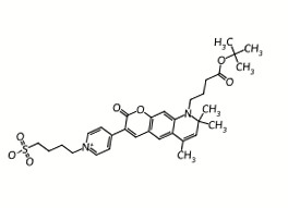 CC1=CC(C)(C)N(CCCC(=O)OC(C)(C)C)c2cc3oc(=O)c(-c4cc[n+](CCCCS(=O)(=O)[O-])cc4)cc3cc21